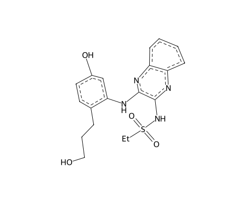 CCS(=O)(=O)Nc1nc2ccccc2nc1Nc1cc(O)ccc1CCCO